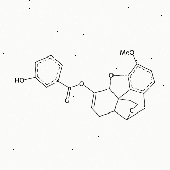 COc1ccc2c3c1OC1C(OC(=O)c4cccc(O)c4)=CCC4C(CCCC314)C2